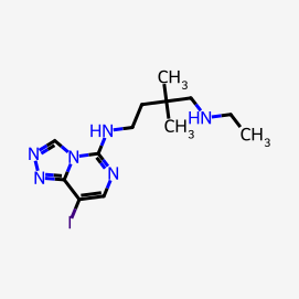 CCNCC(C)(C)CCNc1ncc(I)c2nncn12